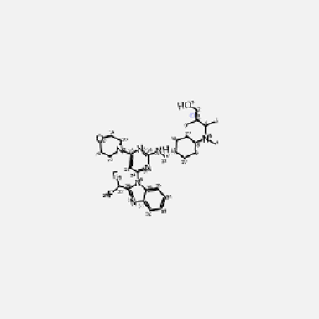 C/C(=C\O)C(C)N(C)[C@H]1CC[C@H](CNc2nc(N3CCOCC3)cc(-n3c(C(F)F)nc4ccccc43)n2)CC1